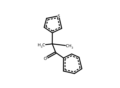 CC(C)(C(=O)c1ccccc1)c1ccsc1